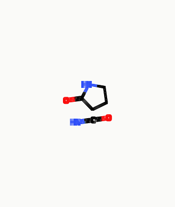 N=C=O.O=C1CCCN1